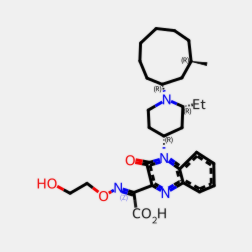 CC[C@@H]1C[C@H](n2c(=O)c(/C(=N/OCCO)C(=O)O)nc3ccccc32)CCN1[C@@H]1CCCCCC[C@@H](C)C1